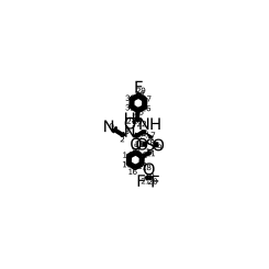 N#CCNC(=O)[C@H](CS(=O)(=O)Cc1ccccc1OC(F)F)NC(=O)c1ccc(F)cc1